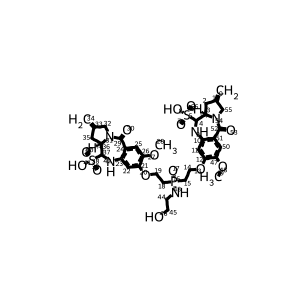 C=C1C[C@H]2C(S(=O)(=O)O)Nc3cc(OCCP(=O)(CCOc4cc5c(cc4OC)C(=O)N4CC(=C)C[C@H]4C(S(=O)(=O)O)N5)NCCO)c(OC)cc3C(=O)N2C1